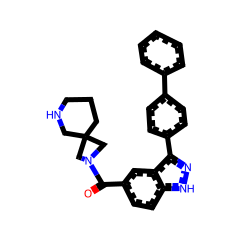 O=C(c1ccc2[nH]nc(-c3ccc(-c4ccccc4)cc3)c2c1)N1CC2(CCCNC2)C1